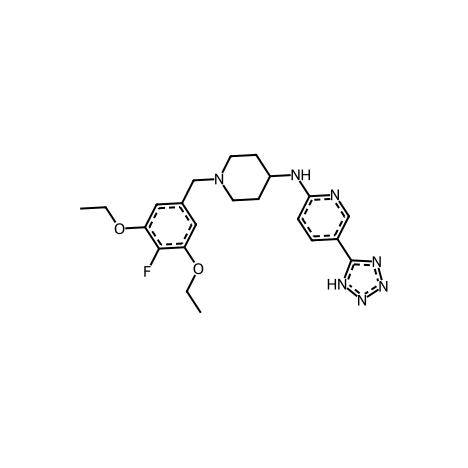 CCOc1cc(CN2CCC(Nc3ccc(-c4nnn[nH]4)cn3)CC2)cc(OCC)c1F